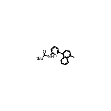 Cc1ccc(-c2cccc(NC(=O)C(C)(C)C)n2)c2ccccc12